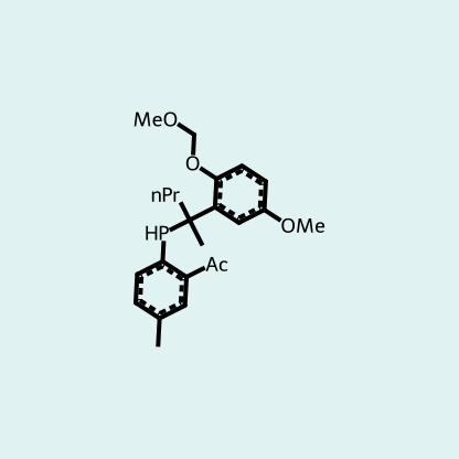 CCCC(C)(Pc1ccc(C)cc1C(C)=O)c1cc(OC)ccc1OCOC